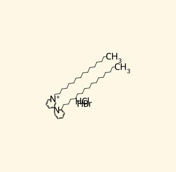 Br.CCCCCCCCCCCCCCCC[n+]1ccccc1.CCCCCCCCCCCCCCCCc1ccccn1.Cl